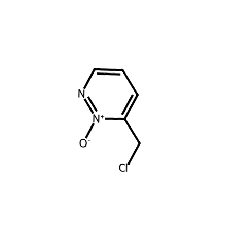 [O-][n+]1ncccc1CCl